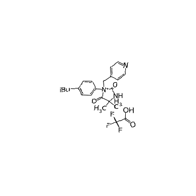 CCC(C)c1ccc([N+]2(Cc3ccncc3)C(=O)NC(C)(C)C2=O)cc1.O=C(O)C(F)(F)F